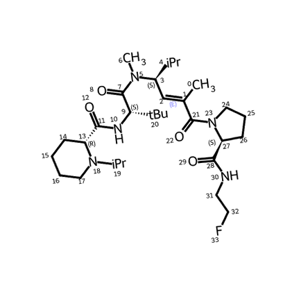 C/C(=C\[C@H](C(C)C)N(C)C(=O)[C@@H](NC(=O)[C@H]1CCCCN1C(C)C)C(C)(C)C)C(=O)N1CCC[C@H]1C(=O)NCCF